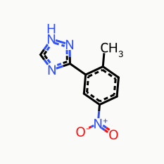 Cc1ccc([N+](=O)[O-])cc1-c1nc[nH]n1